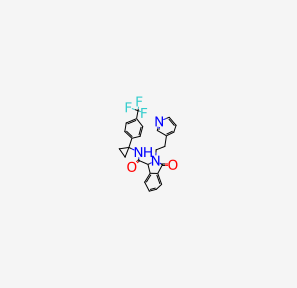 O=C(NC1(c2ccc(C(F)(F)F)cc2)CC1)C1c2ccccc2C(=O)N1CCc1cccnc1